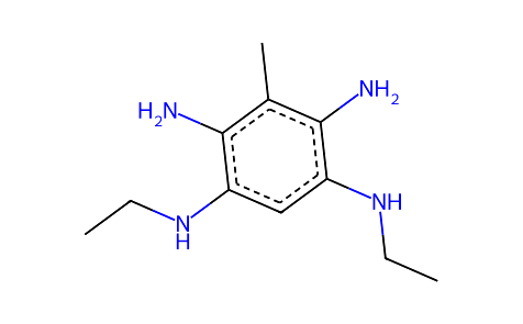 CCNc1cc(NCC)c(N)c(C)c1N